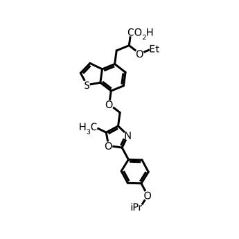 CCOC(Cc1ccc(OCc2nc(-c3ccc(OC(C)C)cc3)oc2C)c2sccc12)C(=O)O